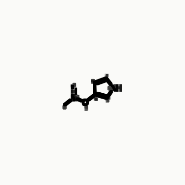 C[SiH](C)Oc1[c][nH]cc1